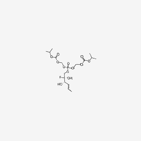 CC=C[C@H](O)[C@@](O)(F)COP(=O)(OCOC(=O)OC(C)C)OCOC(=O)OC(C)C